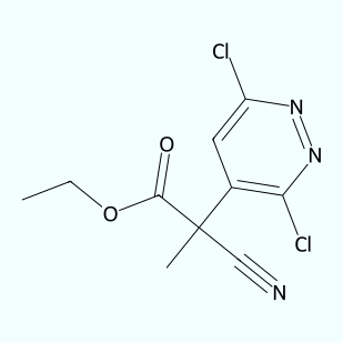 CCOC(=O)C(C)(C#N)c1cc(Cl)nnc1Cl